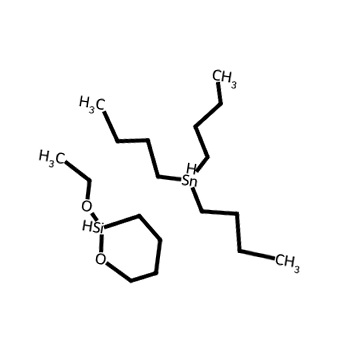 CCC[CH2][SnH]([CH2]CCC)[CH2]CCC.CCO[SiH]1CCCCO1